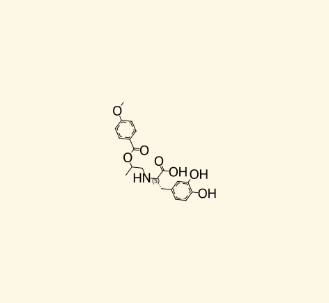 COc1ccc(C(=O)OC(C)CN[C@@H](Cc2ccc(O)c(O)c2)C(=O)O)cc1